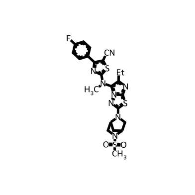 CCc1nc2sc(N3CC4CC3CN4S(C)(=O)=O)nn2c1N(C)c1nc(-c2ccc(F)cc2)c(C#N)s1